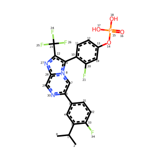 CC(C)c1cc(-c2cn3c(-c4ccc(OP(=O)(O)O)cc4F)c(C(F)(F)F)nc3cn2)ccc1F